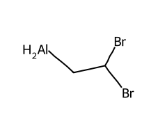 [AlH2][CH2]C(Br)Br